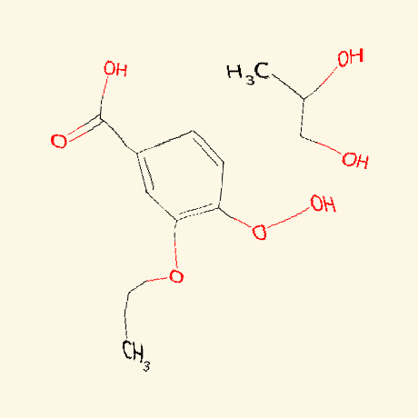 CC(O)CO.CCOc1cc(C(=O)O)ccc1OO